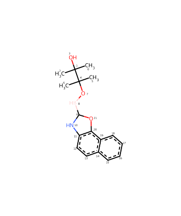 CC(C)(O)C(C)(C)OBC1Nc2ccc3ccccc3c2O1